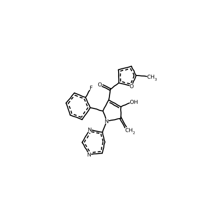 C=C1C(O)=C(C(=O)c2ccc(C)o2)C(c2ccccc2F)N1c1ccncn1